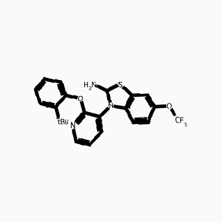 CC(C)(C)c1ccccc1Oc1ncccc1N1c2ccc(OC(F)(F)F)cc2SC1N